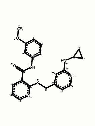 O=C(Nc1cccc(OC(F)(F)F)c1)c1cccnc1SCc1ccnc(NC2CC2)n1